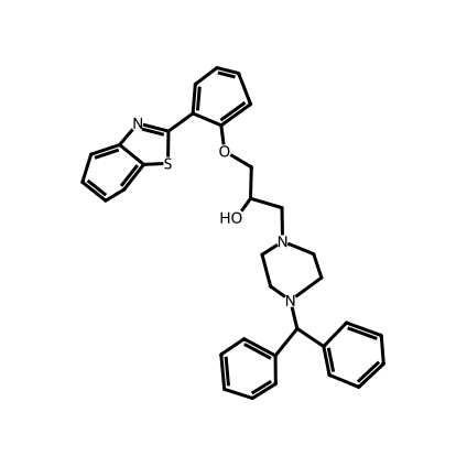 OC(COc1ccccc1-c1nc2ccccc2s1)CN1CCN(C(c2ccccc2)c2ccccc2)CC1